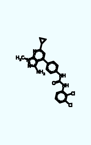 Cn1nc(N)c2c(-c3ccc(NC(=O)Nc4cccc(Cl)c4Cl)cc3)cc(C3CC3)nc21